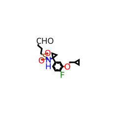 O=CCCCS(=O)(=O)NC1(c2ccc(F)c(OCC3CC3)c2)CC1